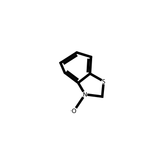 [O]N1CSc2ccccc21